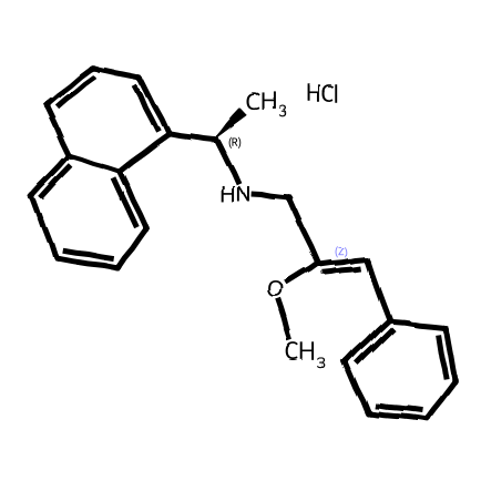 CO/C(=C\c1ccccc1)CN[C@H](C)c1cccc2ccccc12.Cl